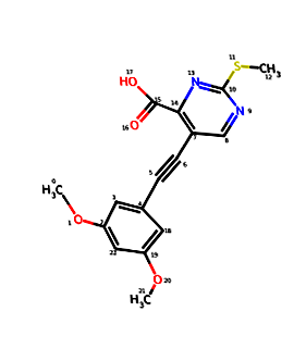 COc1cc(C#Cc2cnc(SC)nc2C(=O)O)cc(OC)c1